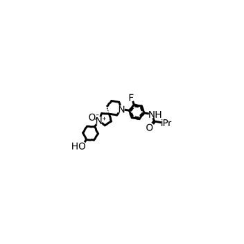 CC(C)C(=O)Nc1ccc(N2CCC[C@@]3(CC[N+]([O-])(C4CCC(O)CC4)C3)C2)c(F)c1